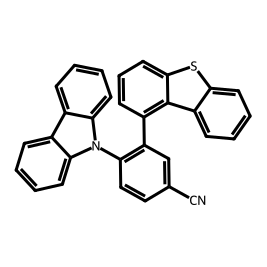 N#Cc1ccc(-n2c3ccccc3c3ccccc32)c(-c2cccc3sc4ccccc4c23)c1